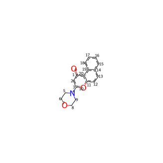 O=c1cc(N2CCOCC2)oc2ccc3ccccc3c12